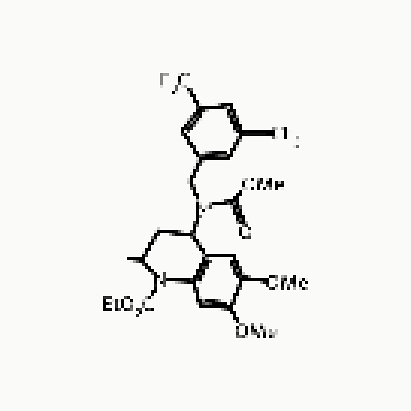 CCOC(=O)N1c2cc(OC)c(OC)cc2C(N(Cc2cc(C(F)(F)F)cc(C(F)(F)F)c2)C(=O)OC)CC1C